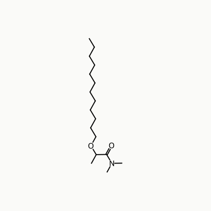 CCCCCCCCCCCCOC(C)C(=O)N(C)C